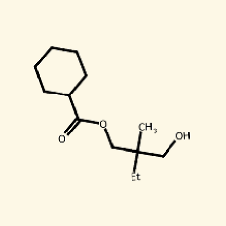 CCC(C)(CO)COC(=O)C1CCCCC1